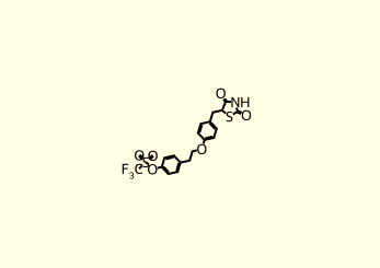 O=C1NC(=O)C(Cc2ccc(OCCc3ccc(OS(=O)(=O)C(F)(F)F)cc3)cc2)S1